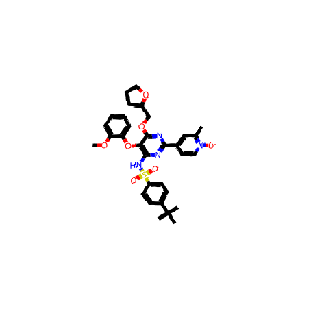 COc1ccccc1Oc1c(NS(=O)(=O)c2ccc(C(C)(C)C)cc2)nc(-c2cc[n+]([O-])c(C)c2)nc1OCC1CCCO1